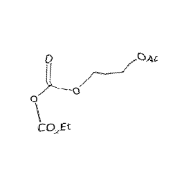 CCOC(=O)OC(=O)OCCOC(C)=O